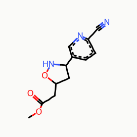 COC(=O)CC1CC(c2ccc(C#N)nc2)NO1